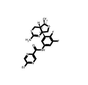 CCc1cnc(C(=O)Nc2cc(F)c(F)c([C@]34CO[C@H](C(F)(F)F)[C@H]3CSC(N)=N4)c2)cn1